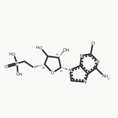 Nc1nc(Cl)nc2c1ncn2[C@@H]1O[C@H](CCP(=O)(O)O)C(O)[C@@H]1O